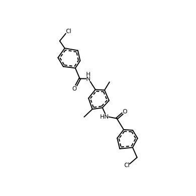 Cc1cc(NC(=O)c2ccc(CCl)cc2)c(C)cc1NC(=O)c1ccc(CCl)cc1